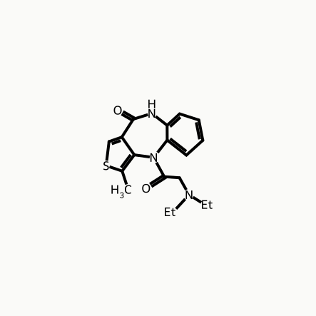 CCN(CC)CC(=O)N1c2ccccc2NC(=O)c2csc(C)c21